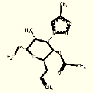 C=CC[C@H]1O[C@H](CC)[C@H](C)[C@H](n2cc(C)nn2)[C@H]1OC(C)=O